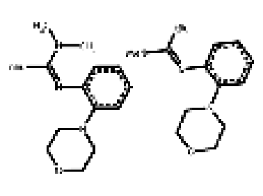 CCCCC(=Nc1ccccc1N1CCOCC1)N(C)C.CNC(=Nc1ccccc1N1CCOCC1)C(C)(C)C